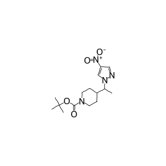 CC(C1CCN(C(=O)OC(C)(C)C)CC1)n1cc([N+](=O)[O-])cn1